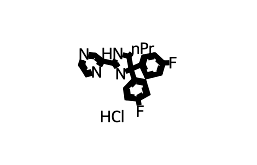 CCCC1NC(c2cnccn2)=NC1(c1ccc(F)cc1)c1ccc(F)cc1.Cl